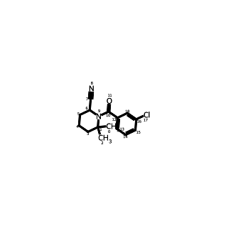 CC1(C)CCCC(C#N)N1C(=O)c1cccc(Cl)c1